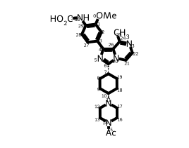 COc1cc(-c2nc([C@H]3CC[C@@H](N4CCN(C(C)=O)CC4)CC3)n3ccnc(C)c23)ccc1NC(=O)O